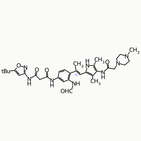 C/C(=C\c1[nH]c(C)c(NC(=O)CN2CCN(C)CC2)c1C)c1ccc(NC(=O)CC(=O)Nc2cc(C(C)(C)C)on2)cc1NC=O